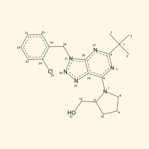 CC(C)(C)c1nc(N2CCCC2CO)c2nnn(Cc3ccccc3Cl)c2n1